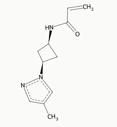 C=CC(=O)N[C@H]1C[C@@H](n2cc(C)cn2)C1